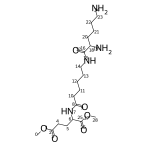 COC(=O)CCC(NC(=O)CCCCCNC(=O)C(N)CCCCN)C(=O)OC